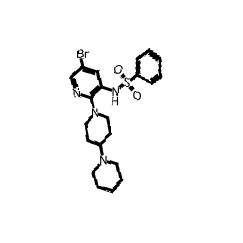 O=S(=O)(Nc1cc(Br)cnc1N1CCC(N2CCCCC2)CC1)c1ccccc1